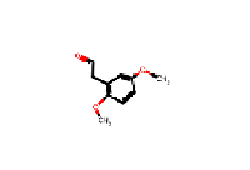 COc1ccc(OC)c(CC=O)c1